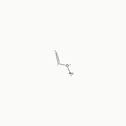 S=C[O][Au]